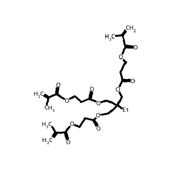 C=C(C)C(=O)OCCC(=O)OCC(CC)(COC(=O)CCOC(=O)C(=C)C)COC(=O)CCOC(=O)C(=C)C